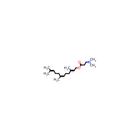 CC(C)=CCCC(C)=CCC/C(C)=C/COC(=O)CCN(C)C